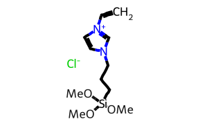 C=C[n+]1ccn(CCC[Si](OC)(OC)OC)c1.[Cl-]